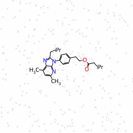 Cc1cc(C)c2nc(CC(C)C)n(-c3ccc(CCOC(=O)CC(C)C)cc3)c2n1